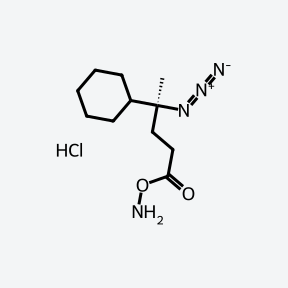 C[C@@](CCC(=O)ON)(N=[N+]=[N-])C1CCCCC1.Cl